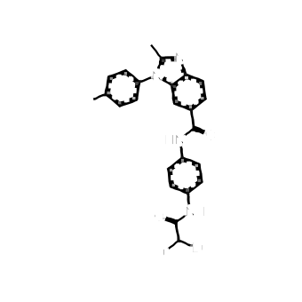 CCC(CC)C(=O)Nc1ccc(NC(=O)c2ccc3nc(C)n(-c4ccc(F)cc4)c3c2)cc1